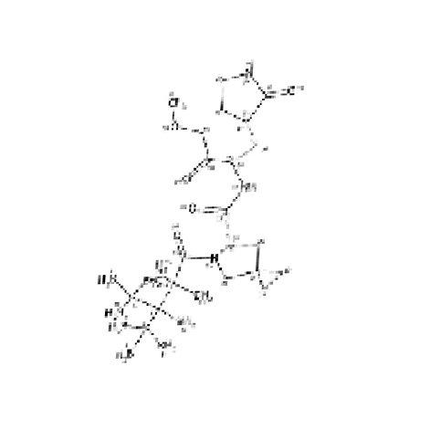 BC(B)(B)C(B)(C(B)(B)B)C(B)(B)C(=O)N1CC2(CC2)C[C@H]1C(=O)N[C@@H](C[C@@H]1CCNC1=O)C(=O)COC(F)(F)F